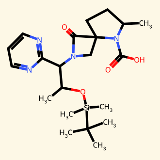 CC(O[Si](C)(C)C(C)(C)C)C(c1ncccn1)N1CC2(CCC(C)N2C(=O)O)C1=O